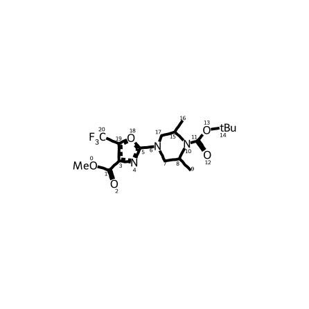 COC(=O)c1nc(N2CC(C)N(C(=O)OC(C)(C)C)C(C)C2)oc1C(F)(F)F